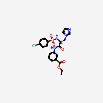 CCOC(=O)c1cccc(NC(=O)[C@H](Cn2ccnc2)NS(=O)(=O)c2ccc(Cl)cc2)c1